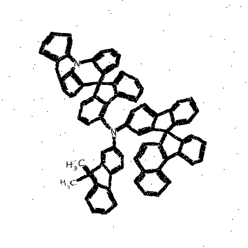 CC1(C)c2ccccc2-c2ccc(N(c3ccc4c(c3)C3(c5ccccc5-4)c4ccccc4-c4c3ccc3ccccc43)c3cccc4c3-c3ccccc3C43c4ccccc4-n4c5ccccc5c5cccc3c54)cc21